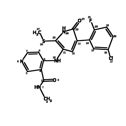 CNC(=O)c1cnccc1Nc1cc(-c2cc(Cl)ccc2F)c(=O)[nH]c1SC